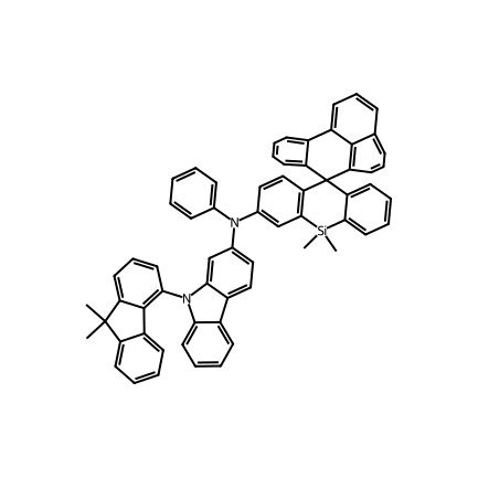 CC1(C)c2ccccc2-c2c(-n3c4ccccc4c4ccc(N(c5ccccc5)c5ccc6c(c5)[Si](C)(C)c5ccccc5C65c6ccccc6-c6cccc7cccc5c67)cc43)cccc21